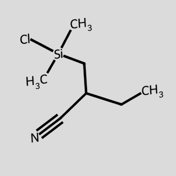 CCC(C#N)C[Si](C)(C)Cl